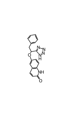 O=c1ccc2cc(OC(Cc3ccccc3)c3nnn[nH]3)ccc2[nH]1